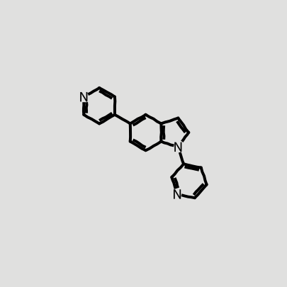 c1cncc(-n2ccc3cc(-c4ccncc4)ccc32)c1